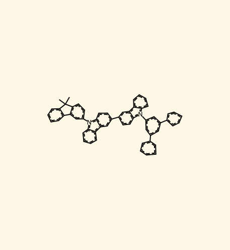 CC1(C)c2ccccc2-c2cc(-n3c4ccccc4c4cc(-c5ccc6c(c5)c5ccccc5n6-c5cc(-c6ccccc6)cc(-c6ccccc6)c5)ccc43)ccc21